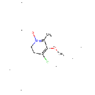 COC1=C(Cl)CC[N+]([O-])=C1C